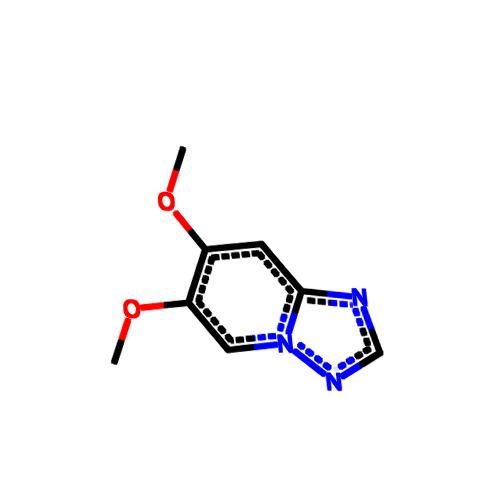 COc1cc2ncnn2cc1OC